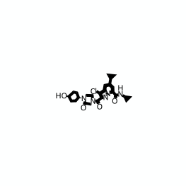 O=C(NC1CC1)c1cc(C2CC2)cc2c(Cl)c(C(=O)N3CCN([C@H]4CC[C@H](O)CC4)C(=O)C3)nn12